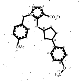 CCOC(=O)c1nnn(Cc2ccc(OC)cc2)c1SC1CCC(c2ccc(OC(F)(F)F)cc2)C1